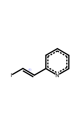 I/C=C/c1ccccn1